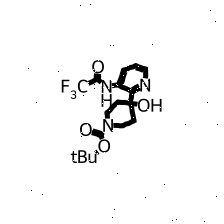 CC(C)(C)OC(=O)N1CCC(O)(c2ncccc2NC(=O)C(F)(F)F)CC1